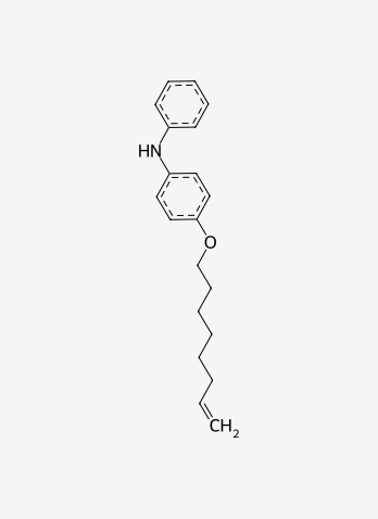 C=CCCCCCCOc1ccc(Nc2ccccc2)cc1